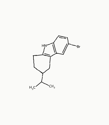 CC(C)C1CCc2[nH]c3ccc(Br)cc3c2C1